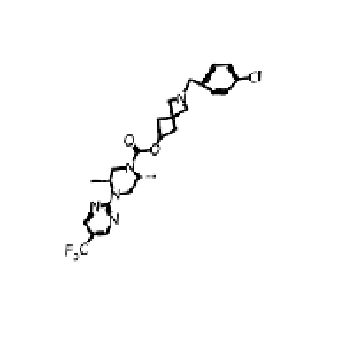 C[C@@H]1CN(c2ncc(C(F)(F)F)cn2)[C@@H](C)CN1C(=O)OC1CC2(C1)CN(Cc1ccc(Cl)cc1)C2